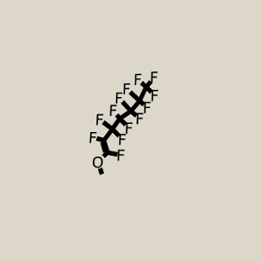 COC(F)=C(F)C(F)(F)C(F)(F)C(F)(F)C(F)(F)C(F)(F)F